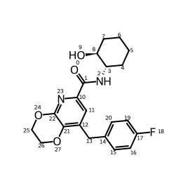 O=C(N[C@H]1CCCC[C@@H]1O)c1cc(Cc2ccc(F)cc2)c2c(n1)OCCO2